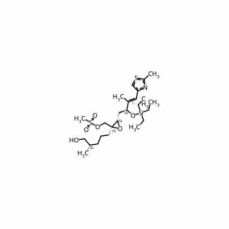 CC[Si](CC)(CC)O[C@@H](C[C@@H]1O[C@@]1(CCC[C@H](C)CO)COS(C)(=O)=O)/C(C)=C/c1csc(C)n1